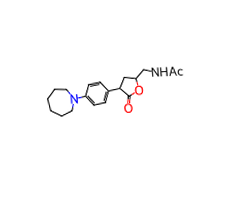 CC(=O)NCC1CC(c2ccc(N3CCCCCC3)cc2)C(=O)O1